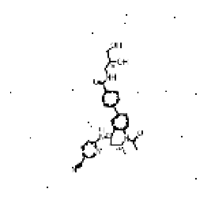 CC(=O)N1c2ccc(-c3ccc(C(=O)NC[C@H](O)CO)cc3)cc2[C@H](Nc2ccc(C#N)cn2)C[C@@H]1C